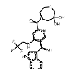 N=C(c1cnc(C(=O)N2CCOCC(O)(O)C2)cc1NCC(F)(F)F)c1c[nH]c2ccccc12